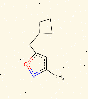 Cc1cc(CC2CCC2)on1